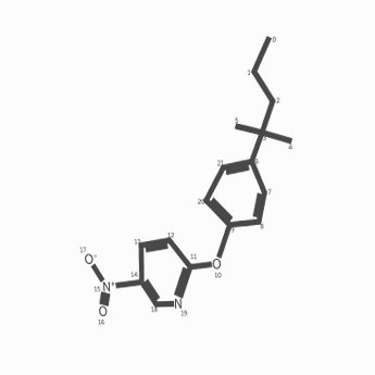 CCCC(C)(C)c1ccc(Oc2ccc([N+](=O)[O-])cn2)cc1